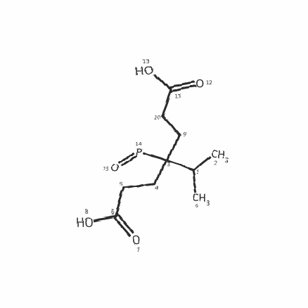 CC(C)C(CCC(=O)O)(CCC(=O)O)P=O